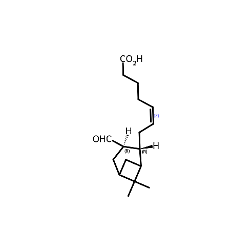 CC1(C)C2CC1[C@@H](C/C=C\CCCC(=O)O)[C@H](C=O)C2